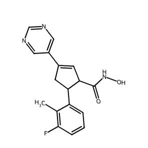 Cc1c(F)cccc1C1CC(c2cncnc2)=CC1C(=O)NO